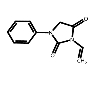 C=CN1C(=O)CN(c2ccccc2)C1=O